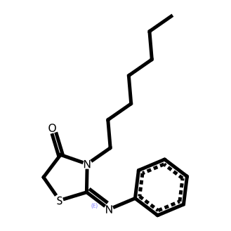 CCCCCCCN1C(=O)CS/C1=N/c1ccccc1